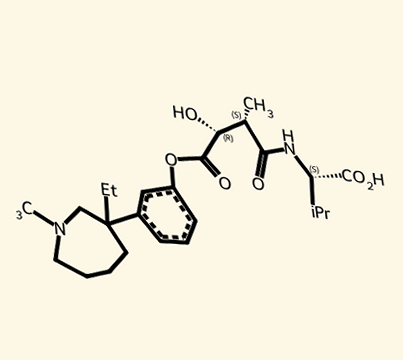 CCC1(c2cccc(OC(=O)[C@H](O)[C@H](C)C(=O)N[C@H](C(=O)O)C(C)C)c2)CCCCN(C)C1